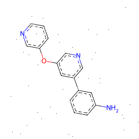 Nc1cccc(-c2cncc(Oc3cccnc3)c2)c1